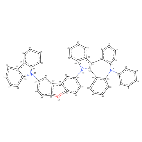 c1ccc(N2c3ccccc3-c3c(n(-c4ccc5oc6ccc(-n7c8ccccc8c8ccccc87)cc6c5c4)c4ccccc34)-c3ccccc32)cc1